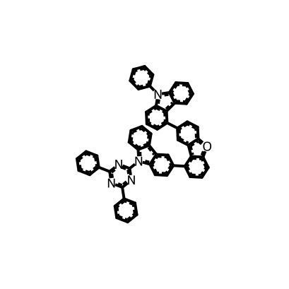 c1ccc(-c2nc(-c3ccccc3)nc(-n3c4ccccc4c4cc(-c5cccc6oc7ccc(-c8cccc9c8c8ccccc8n9-c8ccccc8)cc7c56)ccc43)n2)cc1